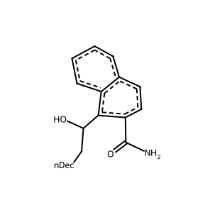 CCCCCCCCCCCC(O)c1c(C(N)=O)ccc2ccccc12